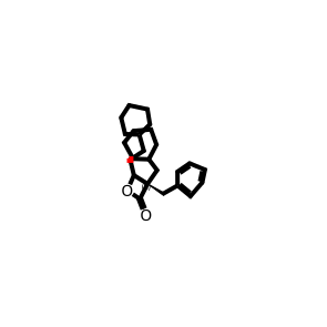 O=C1OC(CCC2CCCCC2)[C@]1(Cc1ccccc1)CC1CCCCC1